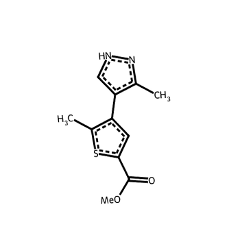 COC(=O)c1cc(-c2c[nH]nc2C)c(C)s1